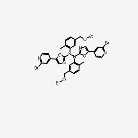 CCOCc1ccc(C)c(N(c2ncc(-c3ccnc(Br)c3)o2)N(c2ncc(-c3ccnc(Br)c3)o2)c2cc(COCC)ccc2C)c1